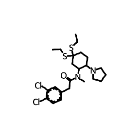 CCSC1(SCC)CCC(N2CCCC2)C(N(C)C(=O)Cc2ccc(Cl)c(Cl)c2)C1